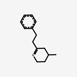 CC1CCN=C(CCc2ccccc2)C1